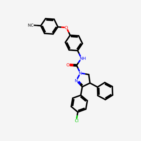 N#Cc1ccc(Oc2ccc(NC(=O)N3CC(c4ccccc4)C(c4ccc(Cl)cc4)=N3)cc2)cc1